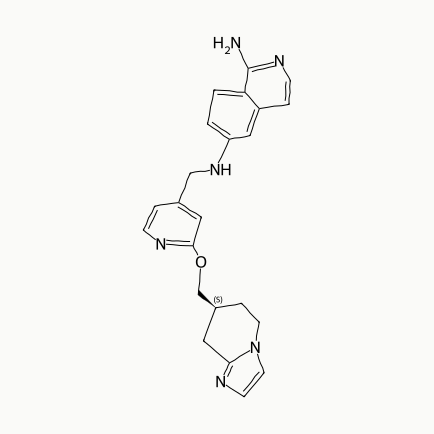 Nc1nccc2cc(NCc3ccnc(OC[C@H]4CCn5ccnc5C4)c3)ccc12